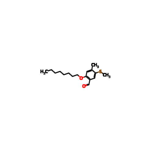 CCCCCCCCOc1cc(C)c(SC)cc1C=O